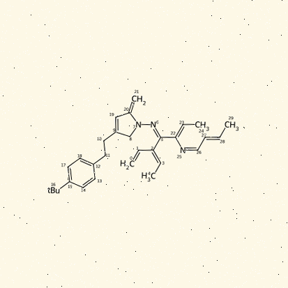 C=CC(=C\C)/C(=N\N1CC(CCc2ccc(C(C)(C)C)cc2)=CC1=C)C(=C/C)/N=C\C=CC